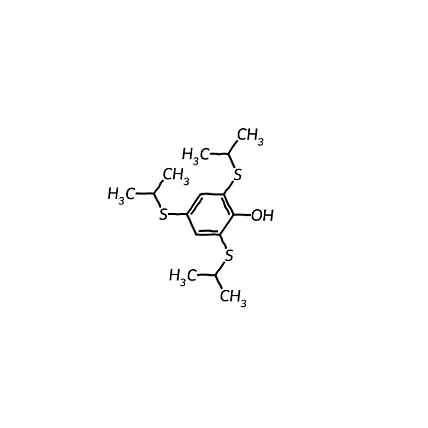 CC(C)Sc1cc(SC(C)C)c(O)c(SC(C)C)c1